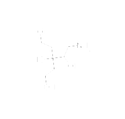 NCC(O)C(O)(CCO)CCO